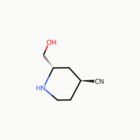 N#C[C@H]1CCN[C@H](CO)C1